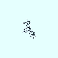 Cc1nccc(Sc2cnc(N3CCC4(CCCC4)CC3)n3ccnc23)c1Cl